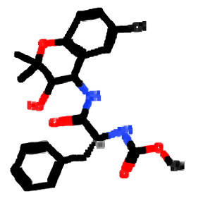 CC(C)(C)OC(=O)N[C@H](Cc1ccccc1)C(=O)NC1c2cc(C#N)ccc2OC(C)(C)C1O